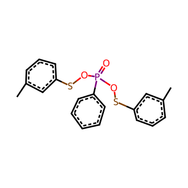 Cc1cccc(SOP(=O)(OSc2cccc(C)c2)c2ccccc2)c1